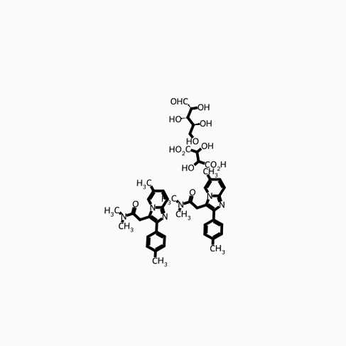 Cc1ccc(-c2nc3ccc(C)cn3c2CC(=O)N(C)C)cc1.Cc1ccc(-c2nc3ccc(C)cn3c2CC(=O)N(C)C)cc1.O=C(O)C(O)C(O)C(=O)O.O=C[C@H](O)[C@@H](O)[C@@H](O)CO